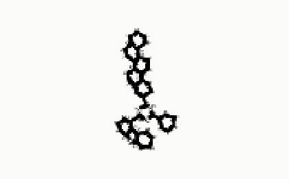 c1ccc(-c2nc(-c3ccc4c(ccc5c4ccc4c6ccccc6ccc45)c3)nc(-c3cccc4sc5ccccc5c34)n2)cc1